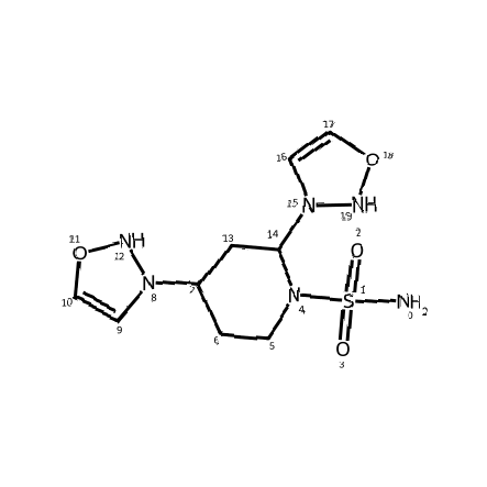 NS(=O)(=O)N1CCC(N2C=CON2)CC1N1C=CON1